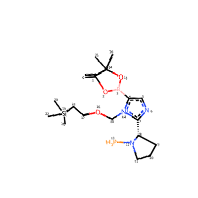 C=C1OB(c2cnc([C@@H]3CCCN3P)n2COCC[Si](C)(C)C)OC1(C)C